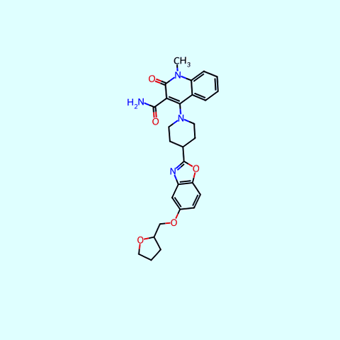 Cn1c(=O)c(C(N)=O)c(N2CCC(c3nc4cc(OCC5CCCO5)ccc4o3)CC2)c2ccccc21